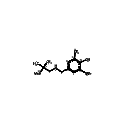 CNc1cc(CNCC(C)(C)OC)cc(C(F)(F)F)c1O